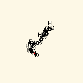 O=C1CCC(c2noc3c(NC(=O)CN4CCC(OC5CCC(n6cc(NC(=O)c7cnn8ccc(N9CC%10CC9CO%10)nc78)c(C(F)F)n6)CC5)CC4)cccc23)C(=O)N1